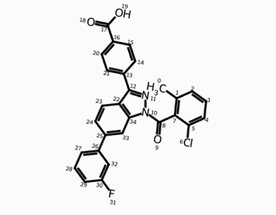 Cc1cccc(Cl)c1C(=O)n1nc(-c2ccc(C(=O)O)cc2)c2ccc(-c3cccc(F)c3)cc21